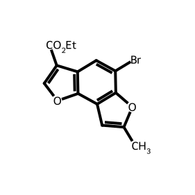 CCOC(=O)c1coc2c1cc(Br)c1oc(C)cc12